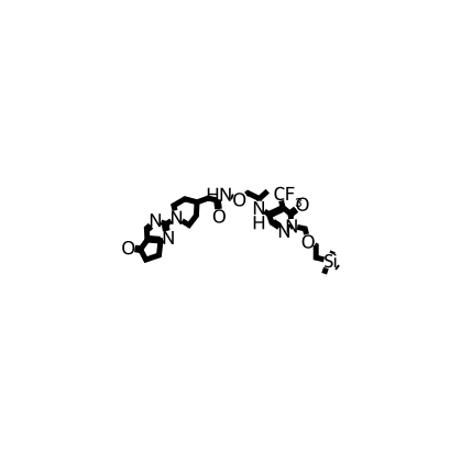 CC(CONC(=O)CC1CCN(c2ncc3c(n2)CCC3=O)CC1)Nc1cnn(COCC[Si](C)(C)C)c(=O)c1C(F)(F)F